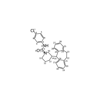 [O-][S+](Nc1ccc(Cl)cc1)N1CCCC(C2c3ccccc3CCc3ccccc32)C1